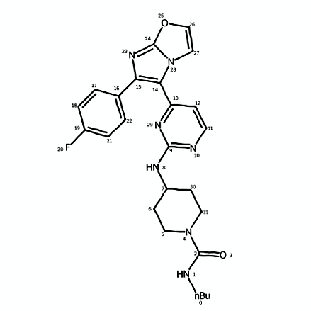 CCCCNC(=O)N1CCC(Nc2nccc(-c3c(-c4ccc(F)cc4)nc4occn34)n2)CC1